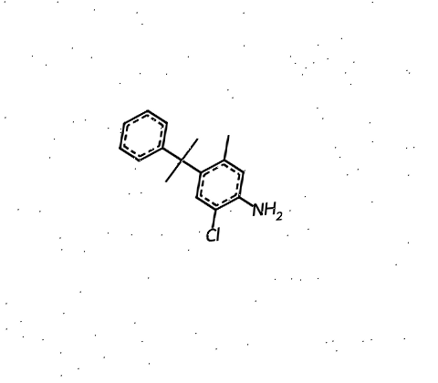 Cc1cc(N)c(Cl)cc1C(C)(C)c1ccccc1